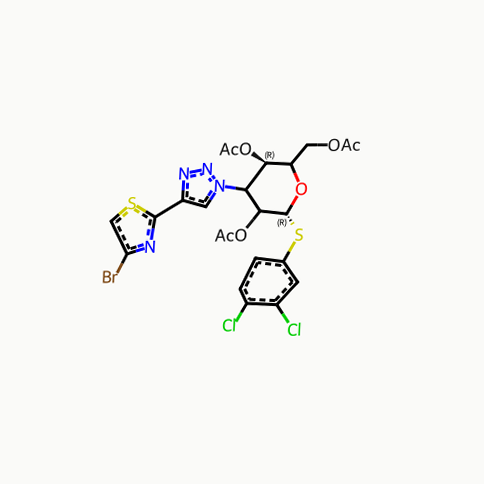 CC(=O)OCC1O[C@H](Sc2ccc(Cl)c(Cl)c2)C(OC(C)=O)C(n2cc(-c3nc(Br)cs3)nn2)[C@H]1OC(C)=O